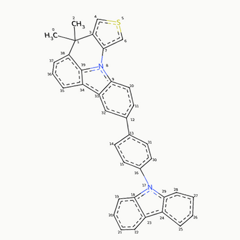 CC1(C)c2cscc2-n2c3ccc(-c4ccc(-n5c6ccccc6c6ccccc65)cc4)cc3c3cccc1c32